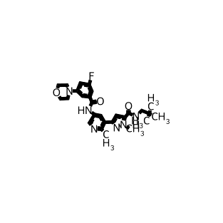 Cc1ncc(NC(=O)c2cc(F)cc(N3CCOCC3)c2)cc1-c1cc(C(=O)NCC(C)(C)C)n(C)n1